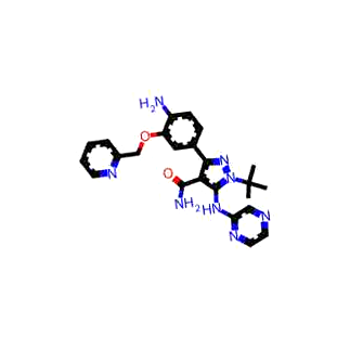 CC(C)(C)n1nc(-c2ccc(N)c(OCc3ccccn3)c2)c(C(N)=O)c1Nc1cnccn1